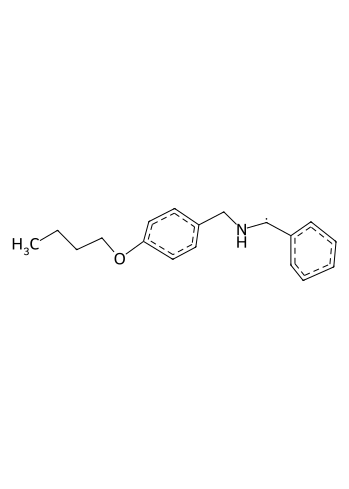 CCCCOc1ccc(CN[CH]c2ccccc2)cc1